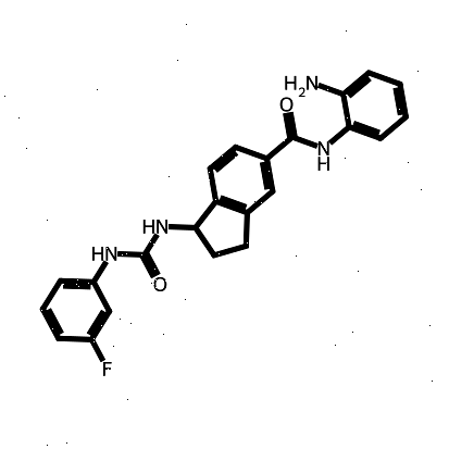 Nc1ccccc1NC(=O)c1ccc2c(c1)CCC2NC(=O)Nc1cccc(F)c1